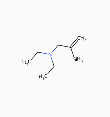 C=C([SiH3])CN(CC)CC